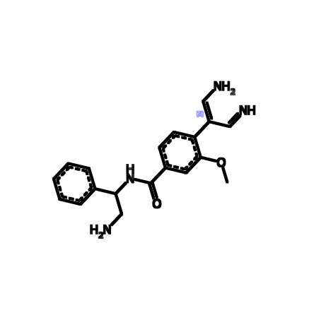 COc1cc(C(=O)NC(CN)c2ccccc2)ccc1/C(C=N)=C/N